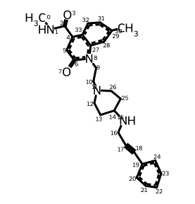 CNC(=O)c1cc(=O)n(CCN2CCC(NCC#Cc3ccccc3)CC2)c2cc(C)ccc12